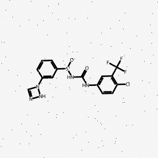 O=C(Nc1ccc(Cl)c(C(F)(F)F)c1)N[S+]([O-])c1cccc(-n2cn[nH]2)c1